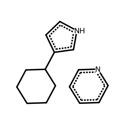 c1cc(C2CCCCC2)c[nH]1.c1ccncc1